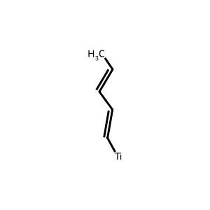 C/C=C/C=[CH]/[Ti]